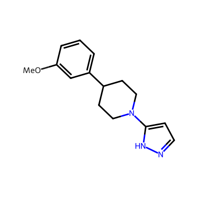 COc1cccc(C2CCN(c3ccn[nH]3)CC2)c1